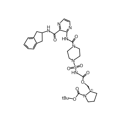 CC(C)(C)OC(=O)N1CCC[C@@H]1COC(=O)NS(=O)(=O)N1CCN(C(=O)Nc2nccnc2C(=O)NC2Cc3ccccc3C2)CC1